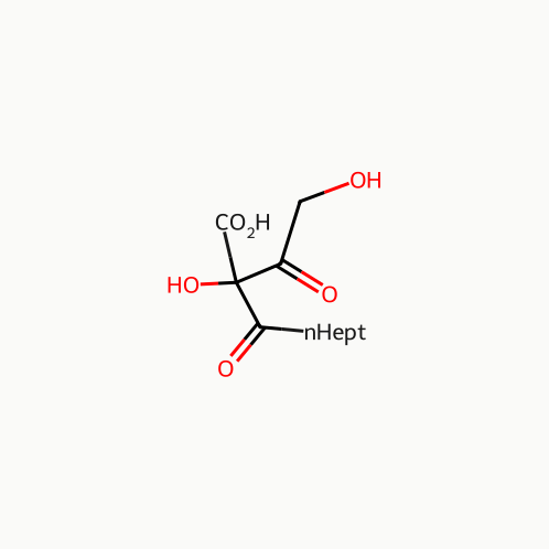 CCCCCCCC(=O)C(O)(C(=O)O)C(=O)CO